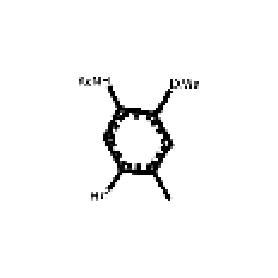 COc1cc(C)c(O)cc1NC(C)=O